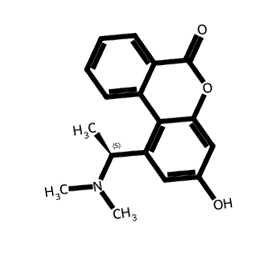 C[C@@H](c1cc(O)cc2oc(=O)c3ccccc3c12)N(C)C